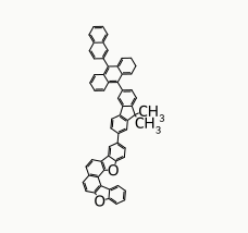 CC1(C)c2ccc(-c3c4c(c(-c5ccc6ccccc6c5)c5ccccc35)=CCCC=4)cc2-c2ccc(-c3ccc4oc5c(ccc6ccc7oc8ccccc8c7c65)c4c3)cc21